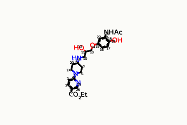 CCOC(=O)c1ccc(N2CCC(NCC(O)COc3ccc(O)c(NC(C)=O)c3)CC2)nc1